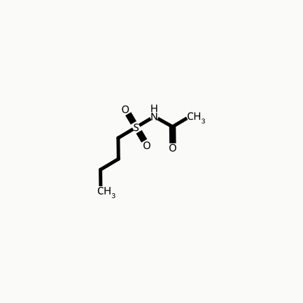 CCCCS(=O)(=O)NC(C)=O